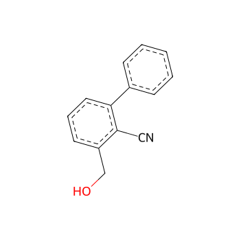 N#Cc1c(CO)cccc1-c1ccccc1